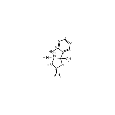 C[C@@H]1C[C@@]2(O)c3ccccc3N[C@@H]2O1